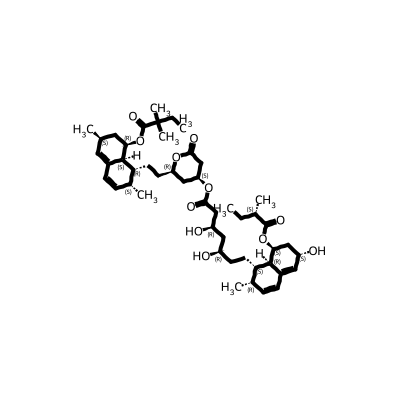 CC[C@H](C)C(=O)O[C@H]1C[C@H](O)C=C2C=C[C@H](C)[C@H](CC[C@@H](O)C[C@@H](O)CC(=O)O[C@@H]3CC(=O)O[C@H](CC[C@H]4[C@H]5C(=C[C@@H](C)C[C@H]5OC(=O)C(C)(C)CC)C=C[C@H]4C)C3)[C@H]21